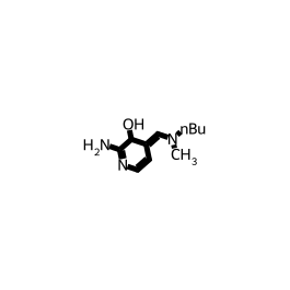 CCCCN(C)C=C1C=CN=C(N)C1O